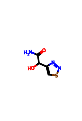 NC(=O)C(O)c1csnn1